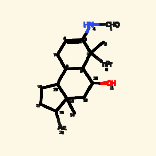 CCCC1(C)C(NC=O)=CCC2C1[C@@H](O)CC1(C)C(C(C)=O)CCC21